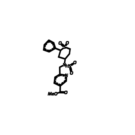 COC(=O)c1ccc(CN(C2CCS(=O)(=O)C(c3ccccc3)C2)[SH](=O)=O)nc1